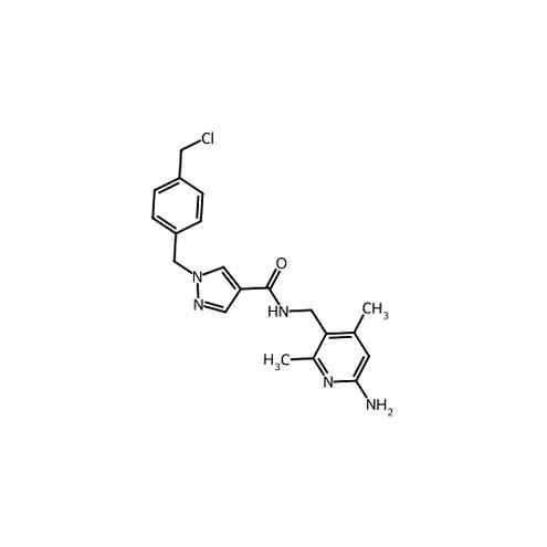 Cc1cc(N)nc(C)c1CNC(=O)c1cnn(Cc2ccc(CCl)cc2)c1